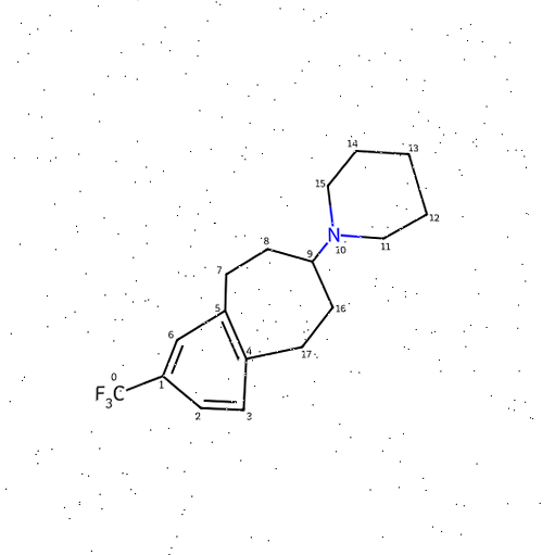 FC(F)(F)c1ccc2c(c1)CCC(N1CCCCC1)CC2